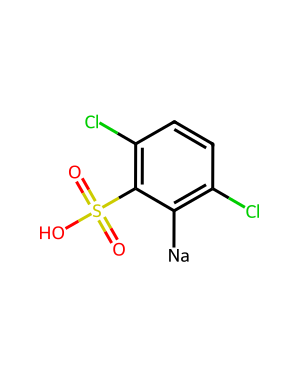 O=S(=O)(O)c1c(Cl)ccc(Cl)[c]1[Na]